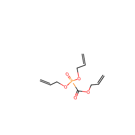 C=CCOC(=O)P(=O)(OCC=C)OCC=C